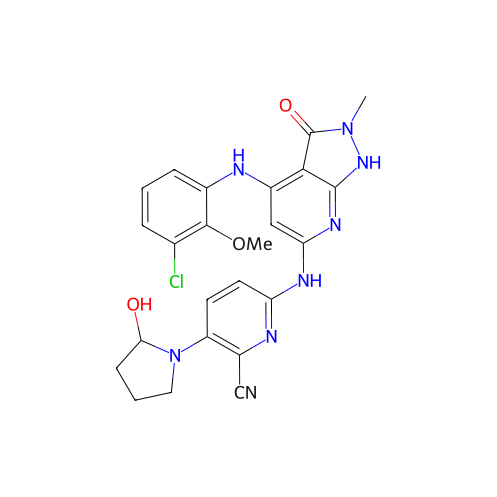 COc1c(Cl)cccc1Nc1cc(Nc2ccc(N3CCCC3O)c(C#N)n2)nc2[nH]n(C)c(=O)c12